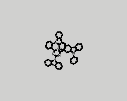 c1ccc(-n2c3ccccc3c3ccc(-c4nc(-c5ccccc5-n5c6ccccc6c6ccccc65)nc(-n5c6ccccc6c6ccccc65)n4)cc32)cc1